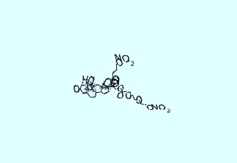 C[C@]12CCC(=O)C=C1CCC1C3CC[C@](OC(=O)CCCO[N+](=O)[O-])(C(=O)COC(=O)COCCOCCO[N+](=O)[O-])[C@@]3(C)C[C@H](O)[C@@H]12